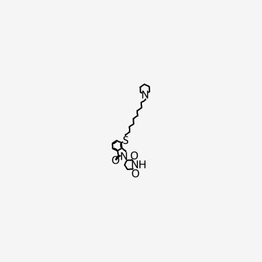 O=C1CCC(N2Cc3c(SCCCCCCCCCCN4CCCCC4)cccc3C2=O)C(=O)N1